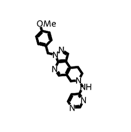 COc1ccc(Cn2ncc3c4c(cnc32)CN(Nc2ccncn2)CC4)cc1